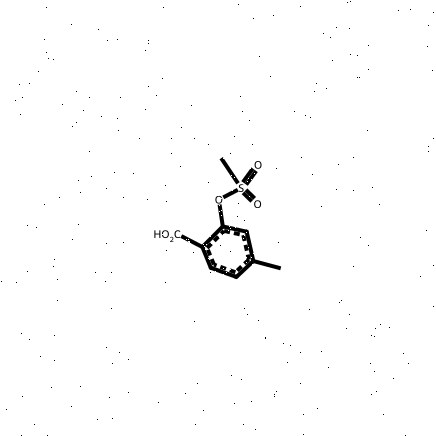 Cc1ccc(C(=O)O)c(OS(C)(=O)=O)c1